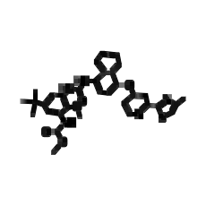 COC(=O)Nc1cc(C(C)(C)C)cc(NC(=O)Nc2ccc(Oc3ccnc(-c4nc(C)cs4)c3)c3ccccc23)c1OC